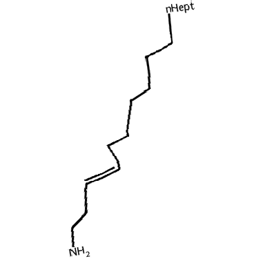 CCCCCCCCCCCCCC=CCCN